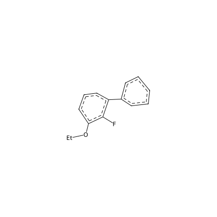 CCOc1cccc(-c2ccccc2)c1F